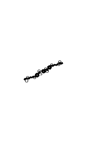 C=CC(=O)OCCCCOc1ccc(C(=O)Oc2ccc(SC(=O)c3ccc(OCCCCOC(=O)C=C)cc3)cc2)cc1